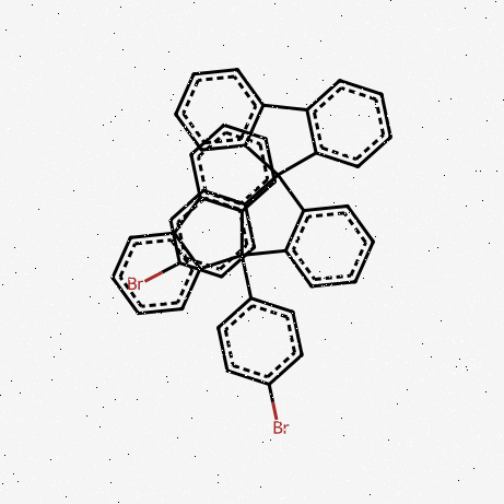 Brc1ccc(C2(c3ccccc3C3(c4ccc(Br)cc4)c4ccccc4-c4ccccc43)c3ccccc3-c3ccccc32)cc1